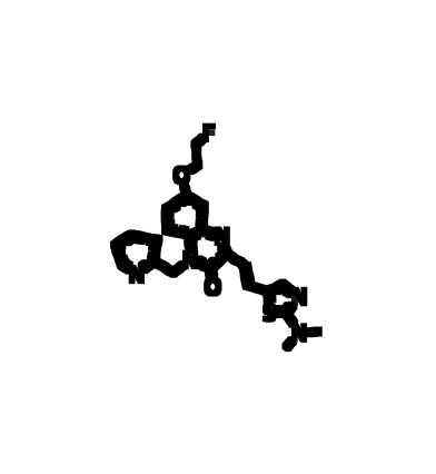 CN(C)c1ncc(/C=C/c2nc3cc(OCCF)ccc3n(Cc3ccccn3)c2=O)s1